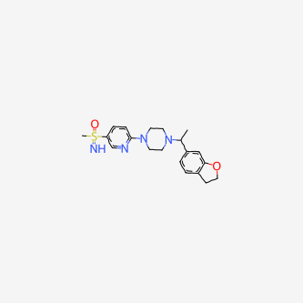 CC(c1ccc2c(c1)OCC2)N1CCN(c2ccc(S(C)(=N)=O)cn2)CC1